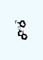 Fc1ccccc1Oc1ccc2ccccc2n1